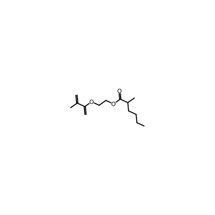 C=C(C)C(=C)OCCOC(=O)C(C)CCCC